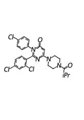 CC(C)C(=O)N1CCN(c2cc(=O)n(-c3ccc(Cl)cc3)c(-c3ccc(Cl)cc3Cl)n2)CC1